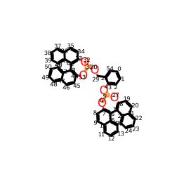 c1ccc(Op2oc3ccc4ccccc4c3c3c(ccc4ccccc43)o2)c(COp2oc3ccc4ccccc4c3c3c(ccc4ccccc43)o2)c1